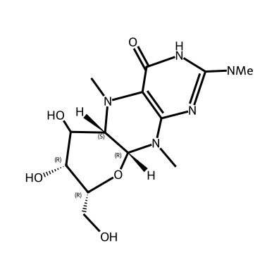 CNc1nc2c(c(=O)[nH]1)N(C)[C@H]1C(O)[C@@H](O)[C@@H](CO)O[C@H]1N2C